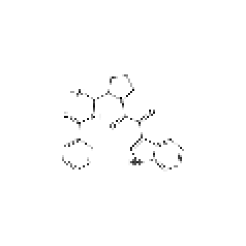 CC(NC(=O)c1ccccc1)C1CCCN1C(=O)C(=O)c1c[nH]c2ccccc12